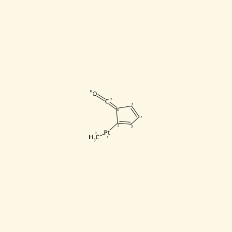 [CH3][Pt][C]1=CC=CC1=C=O